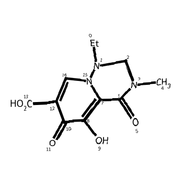 CCN1CN(C)C(=O)c2c(O)c(=O)c(C(=O)O)cn21